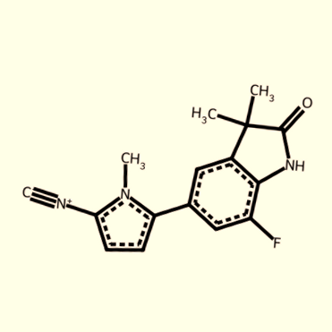 [C-]#[N+]c1ccc(-c2cc(F)c3c(c2)C(C)(C)C(=O)N3)n1C